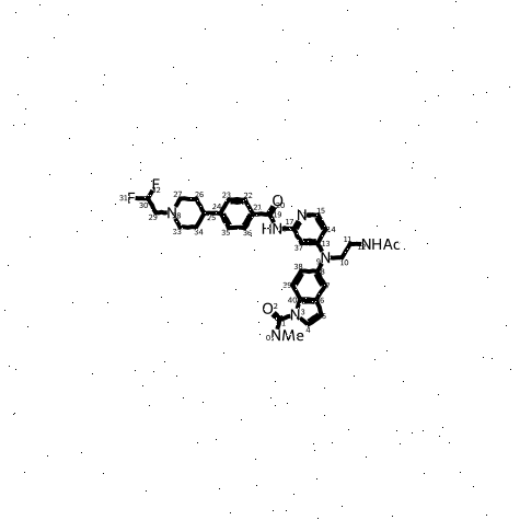 CNC(=O)n1ccc2cc(N(CCNC(C)=O)c3ccnc(NC(=O)c4ccc(C5CCN(CC(F)F)CC5)cc4)c3)ccc21